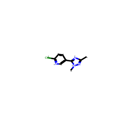 Cc1nc(-c2ccc(Cl)nc2)n(C)n1